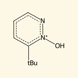 CC(C)(C)c1cccn[n+]1O